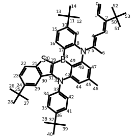 C=C/C(=C\C=C(/C)N1c2cc(C(C)(C)C)ccc2B2c3sc4ccc(C(C)(C)C)cc4c3N(c3ccc(C(C)(C)C)cc3)c3cc(C)cc1c32)C(C)(C)C